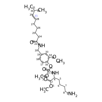 COC(=O)C(CCCCN)NP(=O)(OC)Oc1ccc(CNC(=O)CCCC/C=C/C(C)C)cc1OC